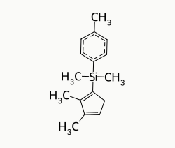 CC1=CCC([Si](C)(C)c2ccc(C)cc2)=C1C